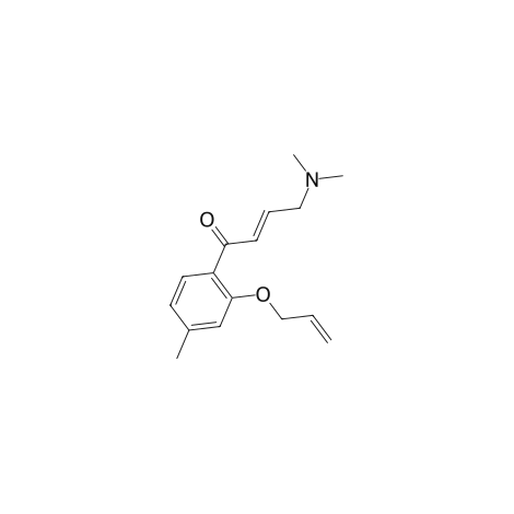 C=CCOc1cc(C)ccc1C(=O)/C=C/CN(C)C